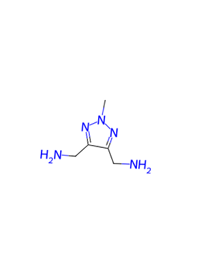 Cn1nc(CN)c(CN)n1